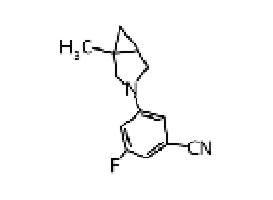 CC12CC1CN(c1cc(F)cc(C#N)c1)C2